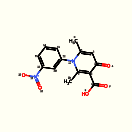 Cc1cc(=O)c(C(=O)O)c(C)n1-c1cccc([N+](=O)[O-])c1